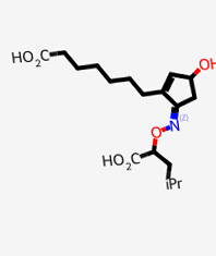 CC(C)CC(O/N=C1/CC(O)C=C1CCCCCCC(=O)O)C(=O)O